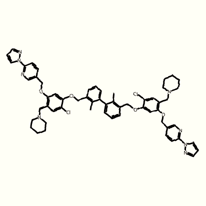 Cc1c(COc2cc(OCc3ccc(-n4cccn4)nc3)c(CN3CCCCC3)cc2Cl)cccc1-c1cccc(COc2cc(OCc3ccc(-n4cccn4)nc3)c(CN3CCCCC3)cc2Cl)c1C